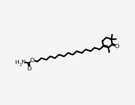 CC1=C(CCCCCCCCCCCCCCCOC(N)=O)CCC(C)(C)C1=O